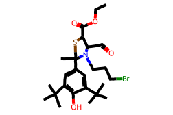 CCOC(=O)C1SC(C)(c2cc(C(C)(C)C)c(O)c(C(C)(C)C)c2)N(CCCBr)C1C=O